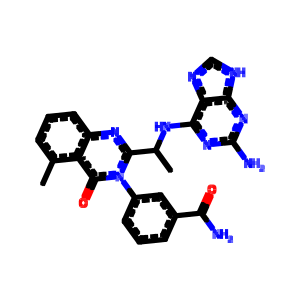 Cc1cccc2nc(C(C)Nc3nc(N)nc4[nH]cnc34)n(-c3cccc(C(N)=O)c3)c(=O)c12